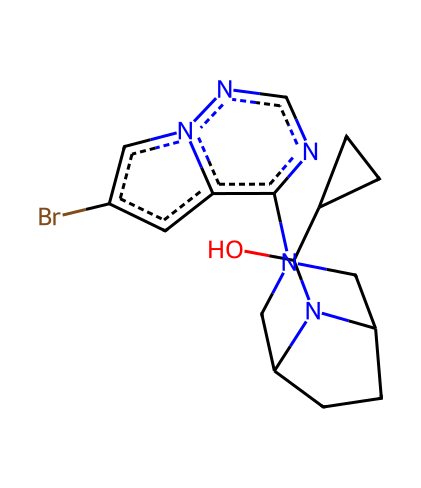 OC(C1CC1)N1C2CCC1CN(c1ncnn3cc(Br)cc13)C2